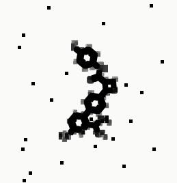 NC(c1nc(C(F)(F)F)ccc1-c1ccc(C2OCC2C(=O)Nc2ccc(F)cc2)cc1)C(F)(F)F